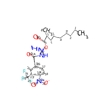 CCCCCCCC(C)C(=O)ONNC(=O)c1ccc([N+](=O)[O-])c(C(F)(F)F)c1